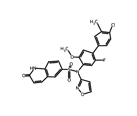 COc1cc(-c2ccc(Cl)c(C)c2)c(F)cc1N(c1ccon1)S(=O)(=O)c1ccc2[nH]c(=O)ccc2c1